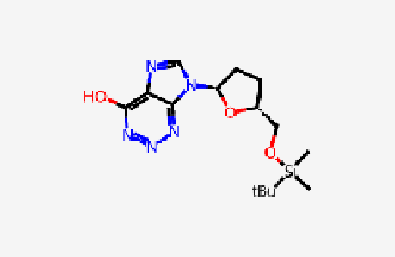 CC(C)(C)[Si](C)(C)OC[C@@H]1CC[C@H](n2cnc3c(O)nnnc32)O1